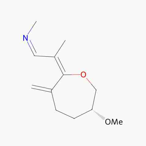 C=C1CC[C@@H](OC)CO/C1=C(C)/C=N\C